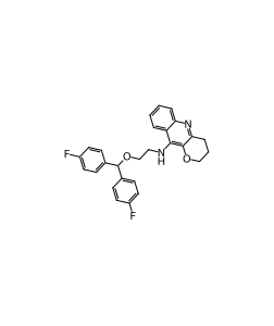 Fc1ccc(C(OCCNc2c3c(nc4ccccc24)CCCO3)c2ccc(F)cc2)cc1